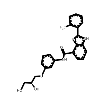 O=C(Nc1cccc(OC[C@@H](O)CO)c1)c1cccc2[nH]c(-c3ccccc3C(F)(F)F)nc12